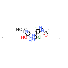 O=C(O)N1CC[C@@H](Nc2ncc(Cl)c(-c3cc(F)c4ncn(C5CCOC5)c4c3)n2)[C@H](O)C1